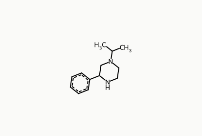 CC(C)N1CCNC(c2ccccc2)C1